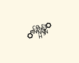 CCOC(=O)C(Cc1ccccc1)NC(=O)Nc1nc(-c2ccccc2)ns1